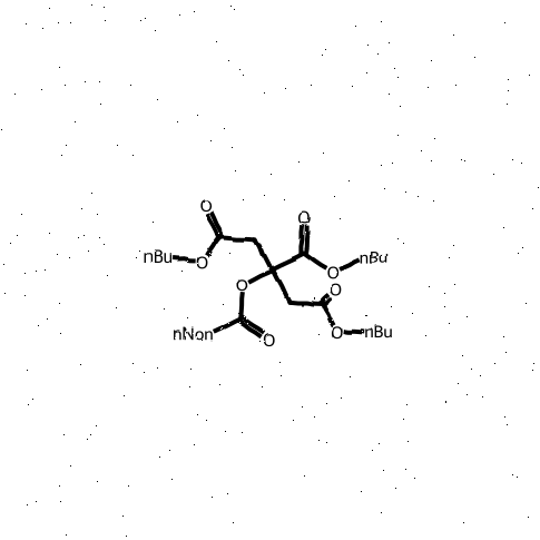 CCCCCCCCCC(=O)OC(CC(=O)OCCCC)(CC(=O)OCCCC)C(=O)OCCCC